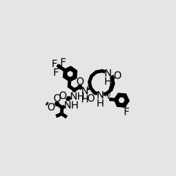 COC(=O)C(NC(=O)NC(Cc1cccc(C(F)(F)F)c1)C(=O)N[C@H]1CCCCNC(=O)C=C[C@H](Cc2cccc(F)c2)NC1=O)C(C)C